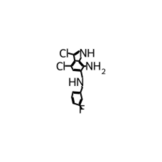 Nc1c(CNCc2cccc(F)c2)cc(Cl)c2c(Cl)c[nH]c12